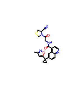 Cc1cc(C2(c3ccc4nccc(C(=O)NCC(=O)N5CSCC5C#N)c4c3)CC2)on1